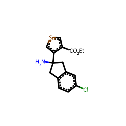 CCOC(=O)c1cscc1C1(N)Cc2ccc(Cl)cc2C1